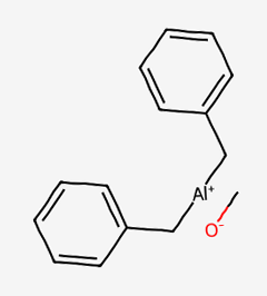 C[O-].c1ccc([CH2][Al+][CH2]c2ccccc2)cc1